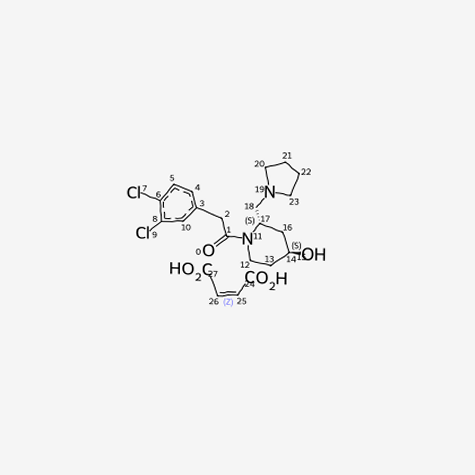 O=C(Cc1ccc(Cl)c(Cl)c1)N1CC[C@H](O)C[C@H]1CN1CCCC1.O=C(O)/C=C\C(=O)O